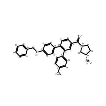 N#Cc1ccc(-c2cc(C(=O)N3CC[C@H](N)C3)ccc2-c2ccc(OCc3ccccc3)cc2)cc1